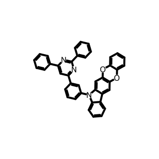 c1ccc(-c2cc(-c3cccc(-n4c5ccccc5c5cc6c(cc54)Oc4ccccc4O6)c3)nc(-c3ccccc3)n2)cc1